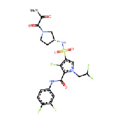 CNC(=O)C(=O)N1CC[C@@H](NS(=O)(=O)c2cn(CC(F)F)c(C(=O)Nc3ccc(F)c(F)c3)c2F)C1